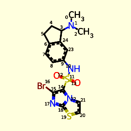 CN(C)C1CCc2ccc(NS(=O)(=O)c3c(Br)nc4sccn34)cc21